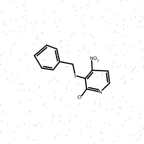 O=[N+]([O-])c1ccnc(Cl)c1SCc1ccccc1